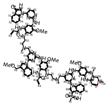 C=CC(=O)Nc1cc(Nc2nc(CN(C)CCN(C)c3cc(OC)c(Nc4nc(CN(C)CCN(C)c5cc(OC)c(Nc6nccc(-n7[nH]c(=O)c8ccccc87)n6)cc5NC(=O)C=C)cc(-n5cc(COC)c6ccccc65)n4)cc3NC(=O)C=C)cc(-n3cc(S(C)(=N)=O)c4ccccc43)n2)c(OC)cc1N(C)CCN(C)C